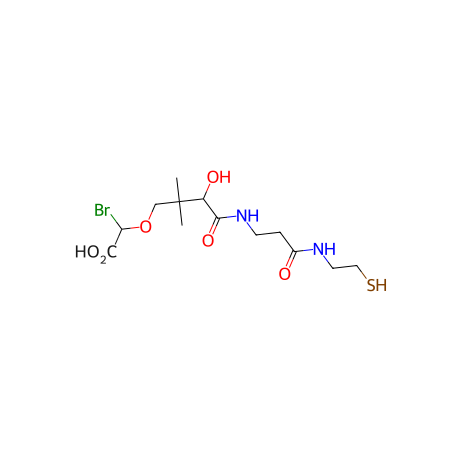 CC(C)(COC(Br)C(=O)O)C(O)C(=O)NCCC(=O)NCCS